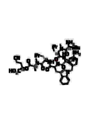 Bc1ccc(Cn2cc(CC(C(=O)N[C@@H](CC(C)C)C(=O)N(C)[C@@H](C)C(=O)O[C@H](CCC#N)C(=O)O)N(C)C(=O)[C@H](CC(C)C)NC(=O)[C@H](CC(C)C)N(C)C(=O)[C@@H](N)CCCC)c3ccccc32)cc1